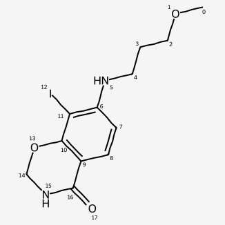 COCCCNc1ccc2c(c1I)OCNC2=O